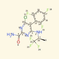 C[C@H](Nc1nc(C(N)=O)nc(Cl)c1-c1c(F)cc(F)cc1F)C(F)(F)F